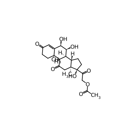 CC(=O)OCC(=O)[C@@]1(O)CC[C@H]2[C@@H]3[C@H](O)[C@H](O)C4=CC(=O)CC[C@]4(C)[C@H]3C(=O)C[C@@]21C